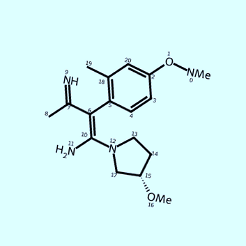 CNOc1ccc(/C(C(C)=N)=C(/N)N2CC[C@H](OC)C2)c(C)c1